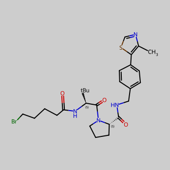 Cc1ncsc1-c1ccc(CNC(=O)[C@@H]2CCCN2C(=O)[C@@H](NC(=O)CCCCBr)C(C)(C)C)cc1